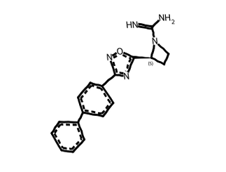 N=C(N)N1CC[C@H]1c1nc(-c2ccc(-c3ccccc3)cc2)no1